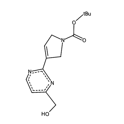 CC(C)(C)OC(=O)N1CC=C(c2nccc(CO)n2)C1